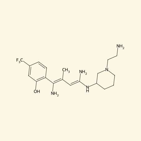 CC(/C=C(\N)NC1CCCN(CCN)C1)=C(/N)c1ccc(C(F)(F)F)cc1O